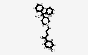 O=C(CCCN1CCC(C(O)(c2ccccc2)c2ccccc2)CC1)c1ccc(Cl)cc1